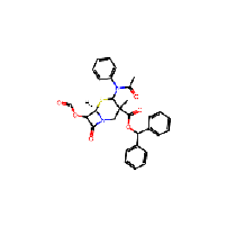 CC(=O)N(c1ccccc1)C1S[C@@H]2C(OC=O)C(=O)N2CC1(C)C(=O)OC(c1ccccc1)c1ccccc1